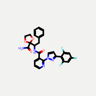 NC(=O)C1(C(Cc2ccccc2)NC(=O)c2cccnc2-n2ccc(-c3c(F)cc(F)cc3F)n2)OCCO1